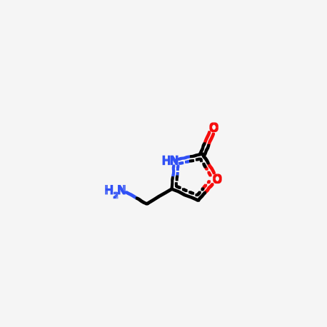 NCc1coc(=O)[nH]1